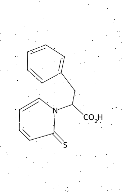 O=C(O)C(Cc1ccccc1)n1ccccc1=S